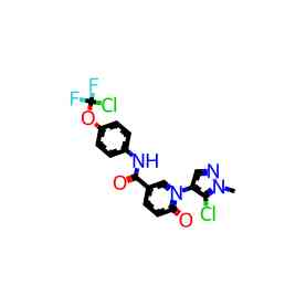 Cn1ncc(-n2cc(C(=O)Nc3ccc(OC(F)(F)Cl)cc3)ccc2=O)c1Cl